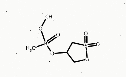 COP(C)(=O)OC1COS(=O)(=O)C1